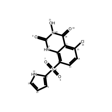 O=c1[nH]c2c(S(=O)(=O)c3ccc[nH]3)ccc(Cl)c2c(=O)n1O